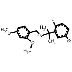 COc1ccc(CNC(C)(C)c2cc(Br)ccc2F)c(OC)c1